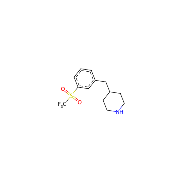 O=S(=O)(c1cccc(CC2CCNCC2)c1)C(F)(F)F